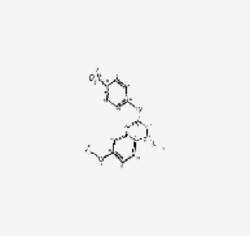 C[C@@H](OC(=O)Oc1ccc([N+](=O)[O-])cc1)c1ccc(OC(F)(F)F)cc1